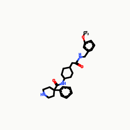 O=C(CC1CCC(NC(=O)C2(c3ccccc3)CCNCC2)CC1)NCc1cccc(OC(F)(F)F)c1